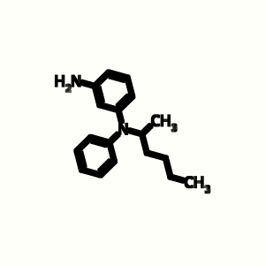 CCCCC(C)N(c1ccccc1)c1cccc(N)c1